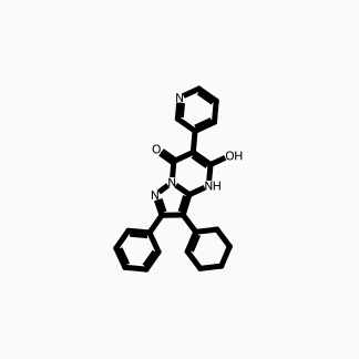 O=c1c(-c2cccnc2)c(O)[nH]c2c(C3=CCCCC3)c(-c3ccccc3)nn12